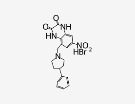 Br.O=c1[nH]c2cc([N+](=O)[O-])cc(CN3CCC(c4ccccc4)CC3)c2[nH]c1=O